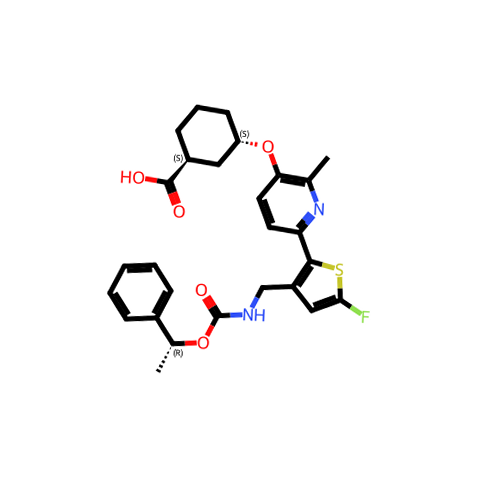 Cc1nc(-c2sc(F)cc2CNC(=O)O[C@H](C)c2ccccc2)ccc1O[C@H]1CCC[C@H](C(=O)O)C1